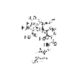 CCC(c1cc(F)c2ncc(C(=O)NCc3ccc(Cl)cc3)c(O)c2c1)C(C)(C)C(N)C(=O)O